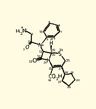 NCC(=O)N(c1ccccc1)C1C(=O)N2C(C(=O)O)=C(C3CCCC3)CS[C@@H]12